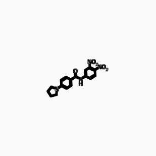 O=C(Nc1ccc([N+](=O)[O-])c([N+](=O)[O-])c1)c1ccc(N2CCCC2)cc1